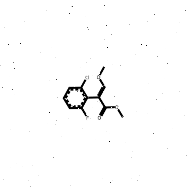 CO/C=C(/C(=O)OC)c1c(F)cccc1Cl